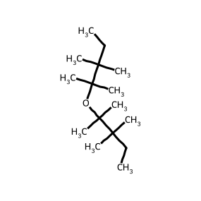 CCC(C)(C)C(C)(C)OC(C)(C)C(C)(C)CC